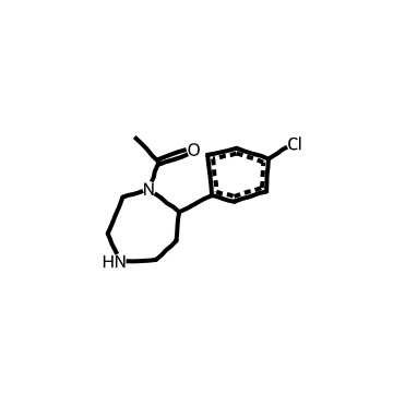 CC(=O)N1CCNCCC1c1ccc(Cl)cc1